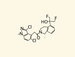 C[C@H]1c2cccc(C(O)(CF)CF)c2CCN1C(=O)Cc1c(Cl)ccc2c1c(Cl)nn2C